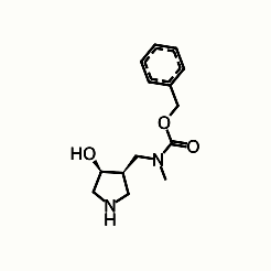 CN(C[C@H]1CNC[C@H]1O)C(=O)OCc1ccccc1